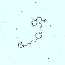 O=C1CCc2ccccc2N1CCCN1CCC(CCCCCN2CCCO2)CC1